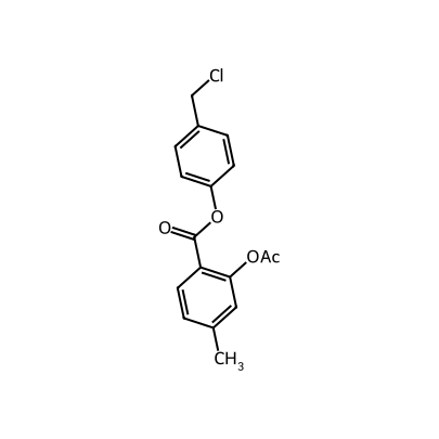 CC(=O)Oc1cc(C)ccc1C(=O)Oc1ccc(CCl)cc1